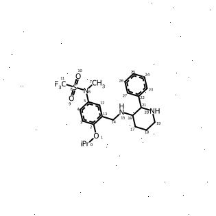 CC(C)Oc1ccc(N(C)S(=O)(=O)C(F)(F)F)cc1CNC1CCCNC1c1ccccc1